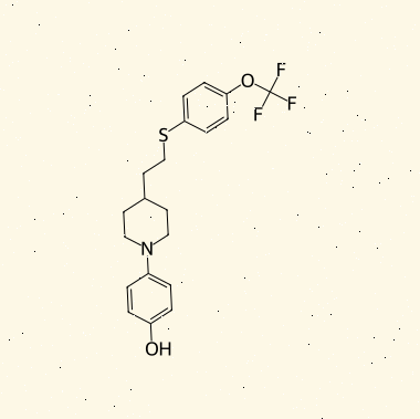 Oc1ccc(N2CCC(CCSc3ccc(OC(F)(F)F)cc3)CC2)cc1